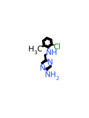 Cc1cccc(Cl)c1NCc1cnc(N)cn1